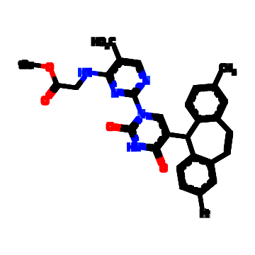 CCc1ccc2c(c1)C=Cc1cc(C)ccc1C2c1cn(-c2ncc(C(=O)O)c(NCC(=O)OC(C)(C)C)n2)c(=O)[nH]c1=O